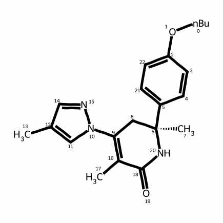 CCCCOc1ccc([C@]2(C)CC(n3cc(C)cn3)=C(C)C(=O)N2)cc1